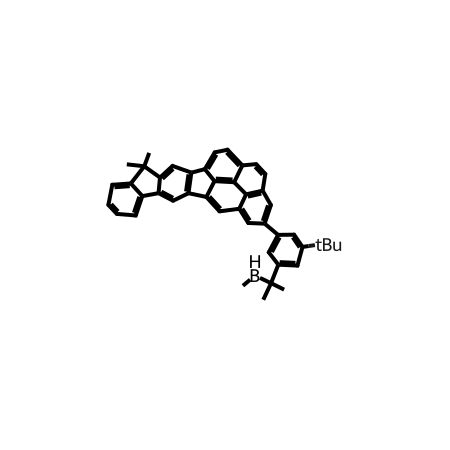 CBC(C)(C)c1cc(-c2cc3ccc4ccc5c6c(cc(c2)c3c46)-c2cc3c(cc2-5)C(C)(C)c2ccccc2-3)cc(C(C)(C)C)c1